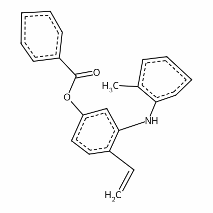 C=Cc1ccc(OC(=O)c2ccccc2)cc1Nc1ccccc1C